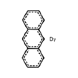 [Dy].c1ccc2cc3ccccc3cc2c1